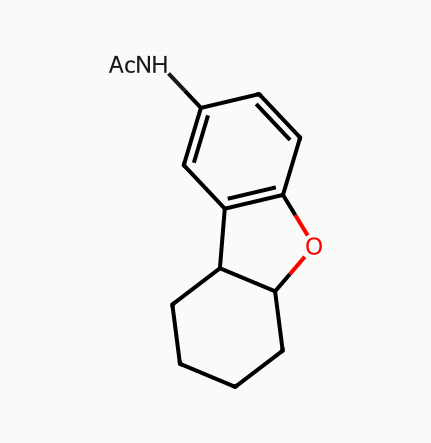 CC(=O)Nc1ccc2c(c1)C1CCCCC1O2